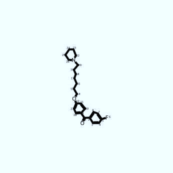 O=C(c1ccc(F)cc1)c1ccc(OCCCCCCCN2CCCCC2)cc1